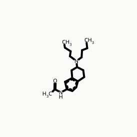 CCCCN(CCCC)C1CCc2ccc(NC(C)=O)cc2C1